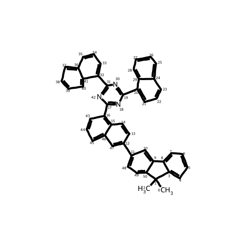 CC1(C)c2ccccc2-c2cc(-c3ccc4c(-c5nc(-c6cccc7ccccc67)nc(-c6cccc7ccccc67)n5)cccc4c3)ccc21